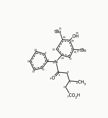 CC(CC(=O)O)CC(=O)N(c1ccccc1)c1cc(C(C)(C)C)c(O)c(C(C)(C)C)c1